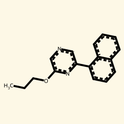 CCCOc1cn[c]c(-c2cccc3ccccc23)n1